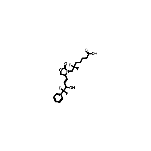 O=C(O)CCCCC(F)(F)CN1C(=O)OCC1C=CC(O)C(F)(F)c1ccccc1